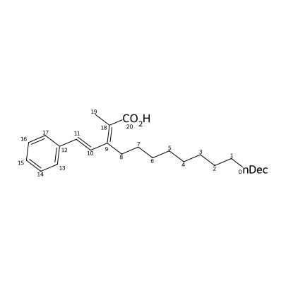 CCCCCCCCCCCCCCCCCCC(C=Cc1ccccc1)=C(C)C(=O)O